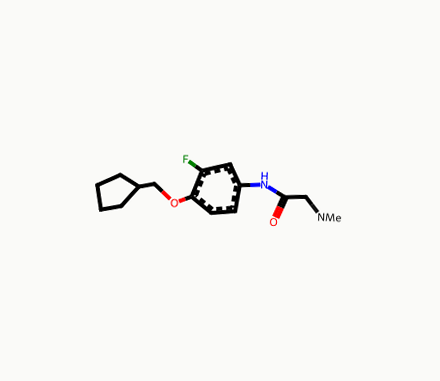 CNCC(=O)Nc1ccc(OCC2CCCC2)c(F)c1